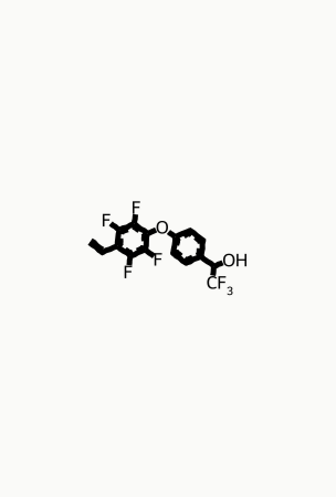 C=Cc1c(F)c(F)c(Oc2ccc(C(O)C(F)(F)F)cc2)c(F)c1F